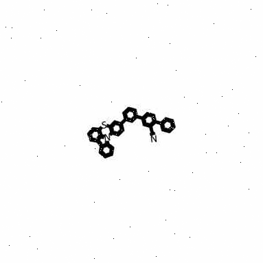 N#Cc1cc(-c2cccc(-c3ccc4c(c3)Sc3cccc5c6ccccc6n-4c35)c2)ccc1-c1ccccc1